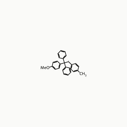 COc1ccc(C([CH]c2ccc(C)cc2)(c2ccccc2)c2ccccc2)cc1